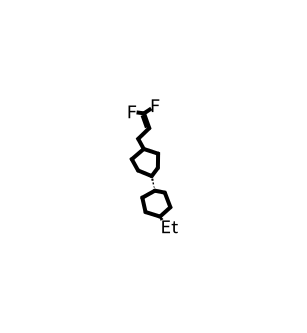 CC[C@H]1CC[C@H](C2CCC(CC=C(F)F)CC2)CC1